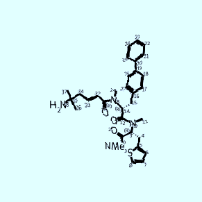 CNC(=O)[C@@H](Cc1cccs1)N(C)C(=O)[C@@H](Cc1ccc(-c2ccccc2)cc1)N(C)C(=O)C=CCC(C)(C)N